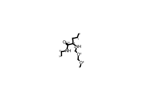 CCCC(NCOCOC)C(=O)NCC